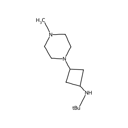 CN1CCN(C2CC(NC(C)(C)C)C2)CC1